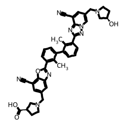 Cc1c(-c2nc3c(C#N)cc(CN4CC[C@@H](O)C4)cn3n2)cccc1-c1cccc(-c2nc3cc(CN4CC[C@@H](C(=O)O)C4)cc(C#N)c3o2)c1C